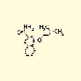 CC(C)CCOc1cc(C(N)=O)cc2ccccc12